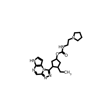 CCC1CC(OC(=O)NCCN2CCCC2)CC1c1nnc2cnc3[nH]ccc3n12